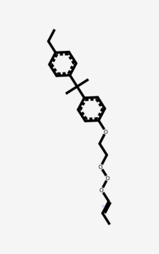 C/C=C/OOOCCOc1ccc(C(C)(C)c2ccc(CC)cc2)cc1